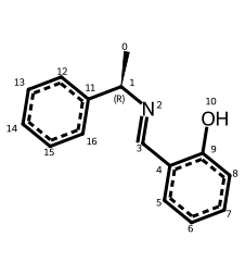 C[C@@H](N=Cc1ccccc1O)c1ccccc1